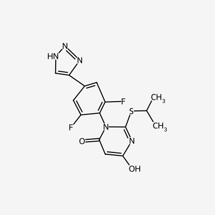 CC(C)Sc1nc(O)cc(=O)n1-c1c(F)cc(-c2c[nH]nn2)cc1F